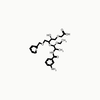 CCO[C@H](OC(COCc1ccccc1)[C@@H](O)COCC(=O)O)C(C)NC(=O)c1cccc(N)c1